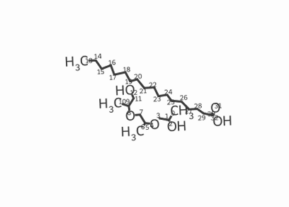 CC(O)COC(C)COC(C)CO.CCCCCCCCCCCCCCCCCC(=O)O